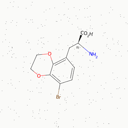 N[C@@H](Cc1ccc(Br)c2c1OCCO2)C(=O)O